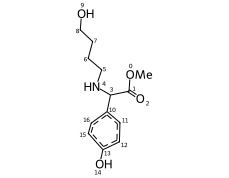 COC(=O)C(NCCCCO)c1ccc(O)cc1